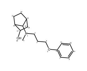 CN(CCCOc1ccccc1)C1C2CCC1C(O)C2